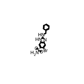 NS(=O)(=O)c1cc2[nH]c(NCc3ccccc3)nc2cc1Br